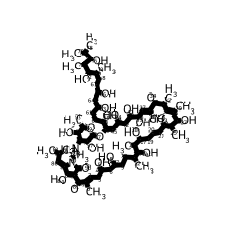 C/C(=C\CC(O)CC(O)CCC(C)C(O)C(C)C(O)CCCC(O)C(C)C(O)/C(C)=C/C(C)C(=O)/C(C)=C/C(O)C(O)CC(O)CC(OC1OC(C)C(O)C(N)C1O)C(C)CCC(O)CC(O)CCC(C)C(O)C(C)C(O)C(C)C)C(=O)C1=C(O)/C(=C/C(C)C)N(C)C1=O